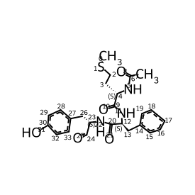 CSCC[C@H](NC(C)=O)C(=O)N[C@@H](Cc1ccccc1)C(=O)N[C@H](C=O)Cc1ccc(O)cc1